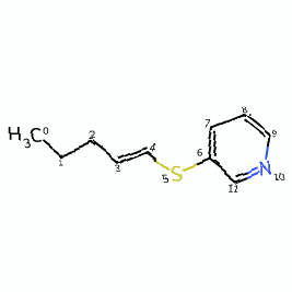 CCCC=CSc1c[c]cnc1